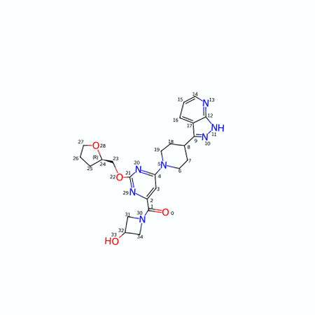 O=C(c1cc(N2CCC(c3n[nH]c4ncccc34)CC2)nc(OC[C@H]2CCCO2)n1)N1CC(O)C1